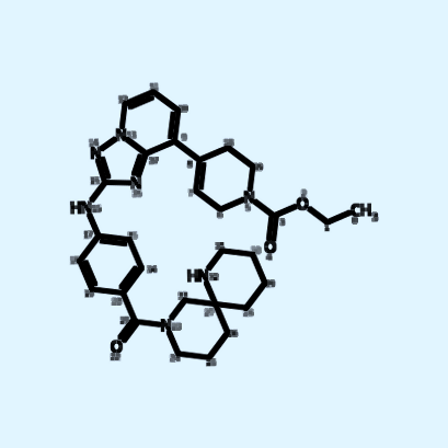 CCOC(=O)N1CC=C(c2cccn3nc(Nc4ccc(C(=O)N5CCCC6(CCCCN6)C5)cc4)nc23)CC1